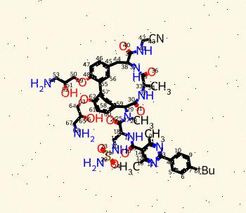 Cc1nc(-c2ccc(C(C)(C)C)cc2)nc(C)c1C(=O)NC(CNS(N)(=O)=O)C(=O)N(C)C1C(=O)NC(C)C(=O)NC(C(=O)NCC#N)Cc2ccc(OCC(O)CN)c(c2)-c2cc1ccc2OCC(O)CN